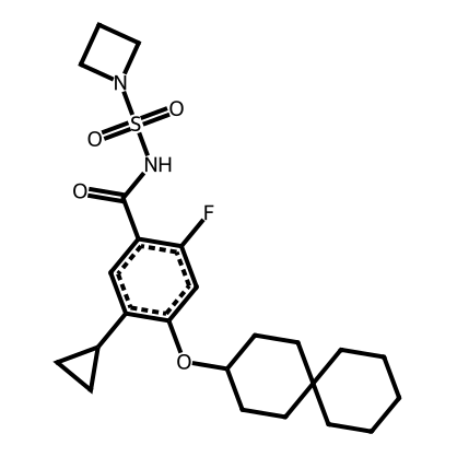 O=C(NS(=O)(=O)N1CCC1)c1cc(C2CC2)c(OC2CCC3(CCCCC3)CC2)cc1F